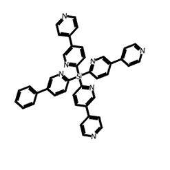 c1ccc(-c2ccc([Si](c3ccc(-c4ccncc4)cn3)(c3ccc(-c4ccncc4)cn3)c3ccc(-c4ccncc4)cn3)nc2)cc1